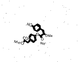 COC(=Cc1ccc(O)cc1)C(=O)Oc1ccc(CC(OC)C(=O)[O-])cc1.[Na+]